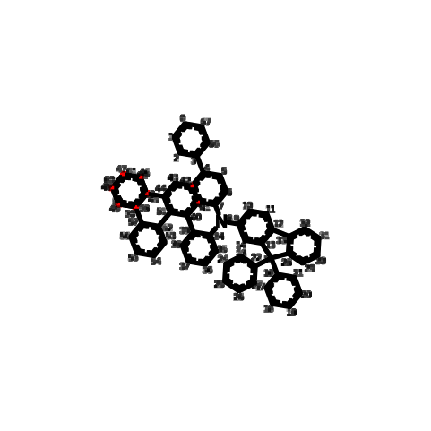 c1ccc(-c2ccc(N(c3ccc4c(c3)C(c3ccccc3)(c3ccccc3)c3ccccc3-4)c3ccccc3-c3cccc(-c4ccccc4)c3-c3ccccc3-c3ccccc3)cc2)cc1